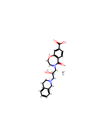 O=C([O-])c1ccc2c(c1)OCCN(C[C@H](O)CN1CCc3ccccc3C1)C2=O.[K+]